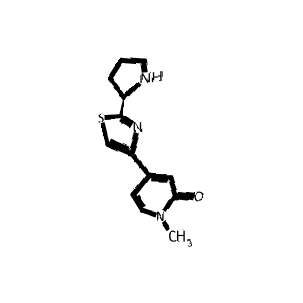 Cn1ccc(-c2csc([C@H]3CCCN3)n2)cc1=O